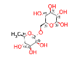 C[C@H]1O[C@H](OC[C@@H]2O[C@H](O)[C@@H](O)[C@H](O)[C@H]2O)[C@@H](O)[C@@H](O)[C@@H]1O